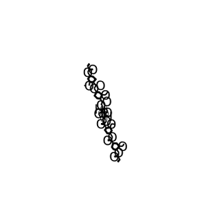 C=CC(=O)Oc1ccc(C(=O)Oc2ccc(C(=O)O[C@@H]3CO[C@H]4[C@@H]3OC[C@H]4OC(=O)c3ccc(OC(=O)c4ccc(OC(=O)C=C)c(OC)c4)cc3OC)c(OC)c2)c(OC)c1